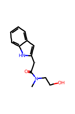 CN(CCO)C(=O)[CH]c1cc2ccccc2[nH]1